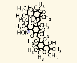 CCC(C)NC1C(=O)C(C)(C)C(=O)C(C)(CCC2(C)C(=O)C(/C(=N/O)C(C)CC)C(=O)C(C)(CCC3(C)C(=O)C(C(O)C(C)CC)C(=O)C(C)(C)C3=O)C2=O)C1=O